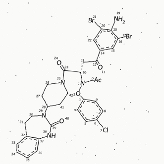 CC(=O)N(Oc1ccc(Cl)cc1)[C@@H](CC(=O)c1cc(Br)c(N)c(Br)c1)C(=O)N1CCC(N2CCc3ccccc3NC2=O)CC1